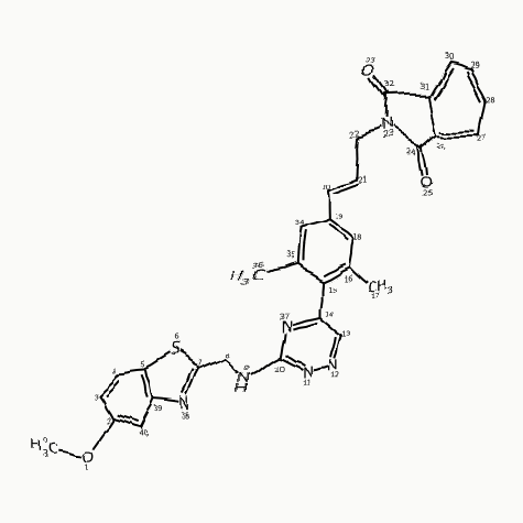 COc1ccc2sc(CNc3nncc(-c4c(C)cc(C=CCN5C(=O)c6ccccc6C5=O)cc4C)n3)nc2c1